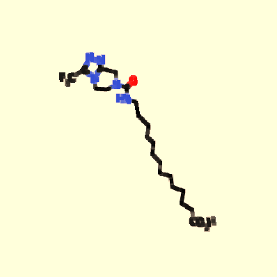 O=C(O)CCCCCCCCCCCCCNC(=O)N1CCn2c(nnc2C(F)(F)F)C1